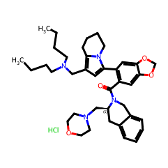 CCCCN(CCCC)Cc1cc(-c2cc3c(cc2C(=O)N2Cc4ccccc4C[C@H]2CN2CCOCC2)OCO3)n2c1CCCC2.Cl